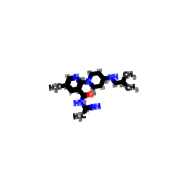 CC(=N)NC(=O)c1cc(C)cnc1N1CCC(NCC(C)C)CC1